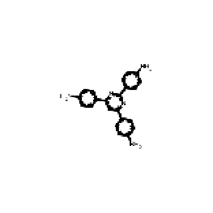 Nc1ccc(-c2cc(-c3ccc(N)cc3)nc(-c3ccc(N)cc3)n2)cc1